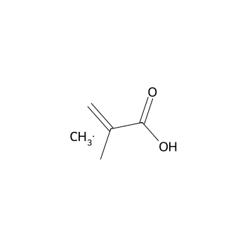 C=C(C)C(=O)O.[CH3]